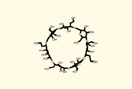 OCCC1OC2OC(CO)C(OC(O)(CO)/C=C(/O)C(CCO)OC3OC(CO)C(OC(O)/C(O)=C(\O)C(CCO)OC(O)/C(O)=C(/O)C(CCO)OC4OC(CO)C(O/C(O)=C/1O)C(O)C4O)C(O)C3O)C(O)C2O